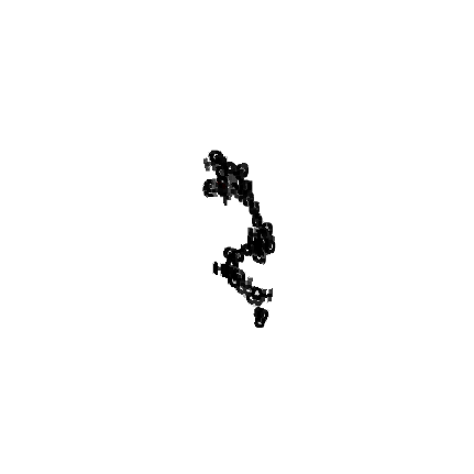 CC(C)[C@H](NC(=O)CCOCCOCCOCCOCCNC(=O)c1ccc(NC=O)c(Oc2cc(Cl)c(F)c([C@H]3CN[C@@H](CC(C)(C)C)[C@]3(C)c3ccc(Cl)cc3F)c2)c1)C(=O)N[C@@H](C)C(=O)Nc1ccc(COC(=O)N2CCC(NC(=O)O[C@H]3CC[C@]4(C)C5CC[C@]6(C)[C@@H](c7ccc(=O)oc7)CC[C@]6(O)C5CC[C@@H]4C3)CC2)cc1